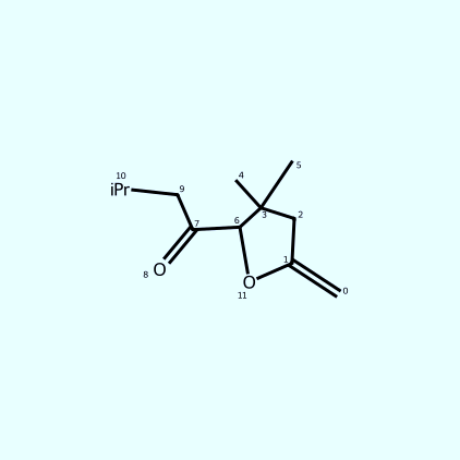 C=C1CC(C)(C)C(C(=O)CC(C)C)O1